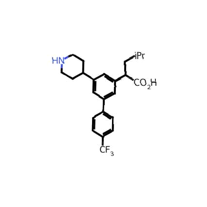 CC(C)CC(C(=O)O)c1cc(-c2ccc(C(F)(F)F)cc2)cc(C2CCNCC2)c1